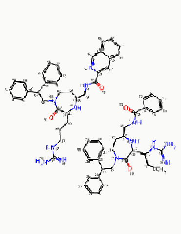 CCC(NC(=N)N)[C@@H]1N[C@H](CNC(=O)c2ccccc2)CCN(CC(c2ccccc2)c2ccccc2)C1=O.N=C(N)NCCC[C@@H]1N[C@H](CNC(=O)c2cc3ccccc3cn2)CCN(CC(c2ccccc2)c2ccccc2)C1=O